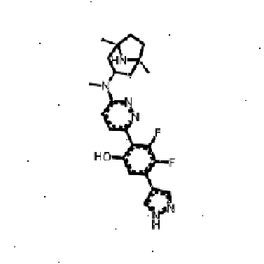 CN(c1ccc(-c2c(O)cc(-c3cn[nH]c3)c(F)c2F)nn1)[C@H]1C[C@]2(C)CC[C@](C)(C1)N2